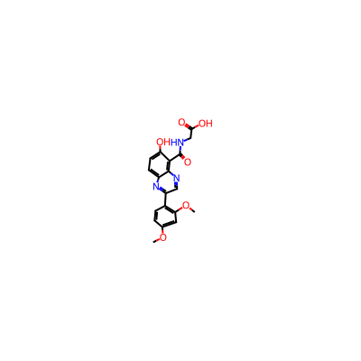 COc1ccc(-c2cnc3c(C(=O)NCC(=O)O)c(O)ccc3n2)c(OC)c1